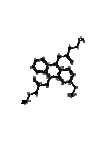 CCOC(=O)Oc1c2ccccc2c(OC(=O)OCC)c2cc(CC)ccc12